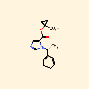 C[C@H](C1=CCCC=C1)n1cncc1C(=O)OC1(C(=O)O)CC1